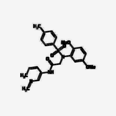 C=N/C=C(\C=C/C)NC(=O)CN(c1cc(OC)ccc1OC)S(=O)(=O)c1ccc(C)cc1